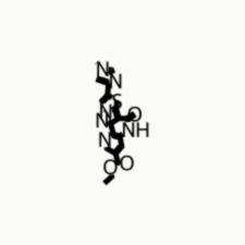 CCOC(=O)c1cnc2c(c1)[nH]c(=O)c1c2nn2cc(-c3cn(C)cn3)sc12